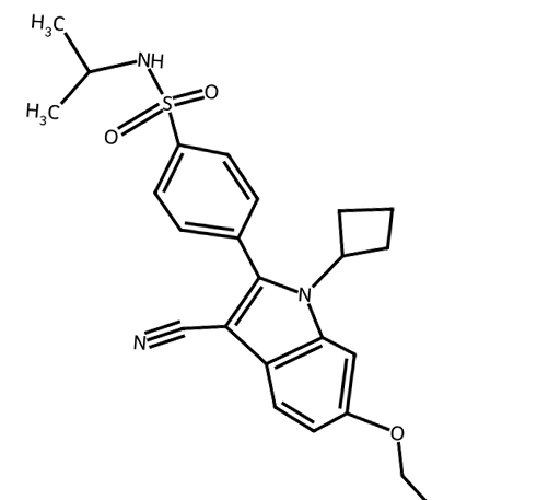 CCOc1ccc2c(C#N)c(-c3ccc(S(=O)(=O)NC(C)C)cc3)n(C3CCC3)c2c1